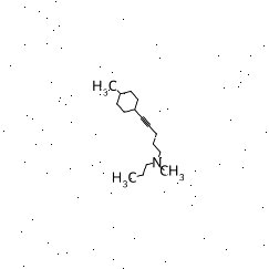 CCCN(C)CCCC#CC1CC[C](C)CC1